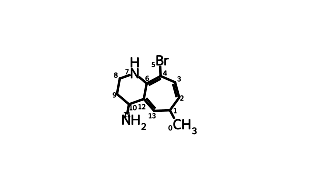 CC1C=CC(Br)=C2NCCC(N)C2=C1